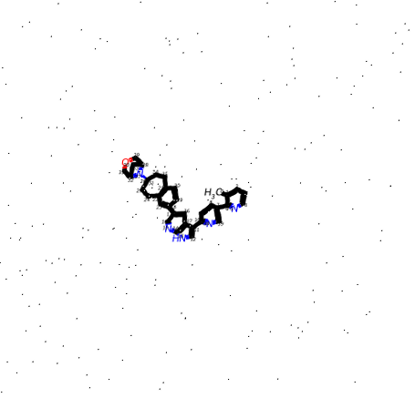 Cc1cccnc1-c1ccc(-c2c[nH]c3ncc(-c4ccc5c(c4)CC[C@@H](N4C6COCC4C6)CC5)cc23)nc1